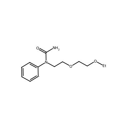 CCOCCOCCN(C(N)=O)c1[c]cccc1